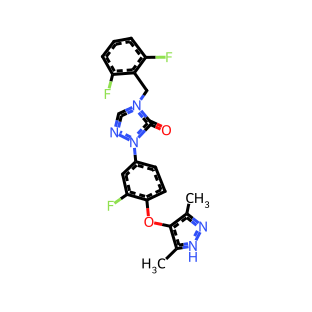 Cc1n[nH]c(C)c1Oc1ccc(-n2ncn(Cc3c(F)cccc3F)c2=O)cc1F